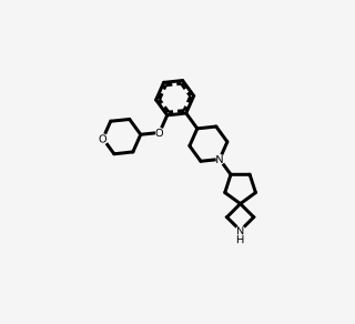 c1ccc(C2CCN(C3CCC4(CNC4)C3)CC2)c(OC2CCOCC2)c1